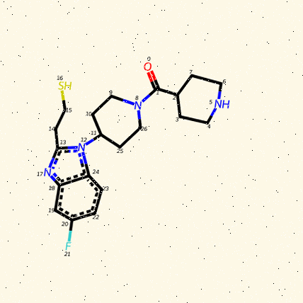 O=C(C1CCNCC1)N1CCC(n2c(CCS)nc3cc(F)ccc32)CC1